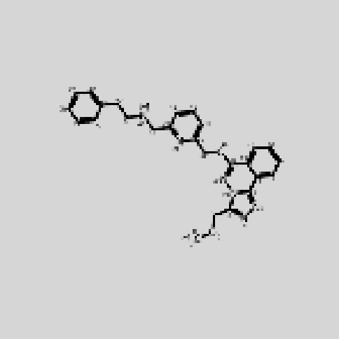 COCc1nnc2c3ccccc3c(OCc3cccc(CNCCc4ccccc4)n3)nn12